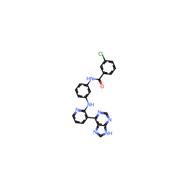 O=C(Nc1cccc(Nc2ncccc2-c2ncnc3[nH]cnc23)c1)c1cccc(Cl)c1